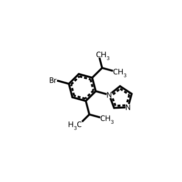 CC(C)c1cc(Br)cc(C(C)C)c1-n1ccnc1